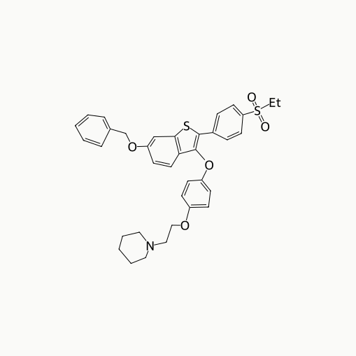 CCS(=O)(=O)c1ccc(-c2sc3cc(OCc4ccccc4)ccc3c2Oc2ccc(OCCN3CCCCC3)cc2)cc1